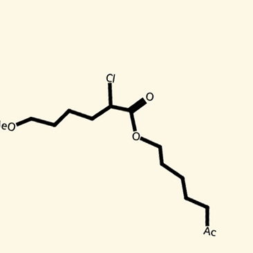 COCCCCC(Cl)C(=O)OCCCCCC(C)=O